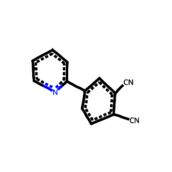 N#Cc1ccc(-c2c[c]ccn2)cc1C#N